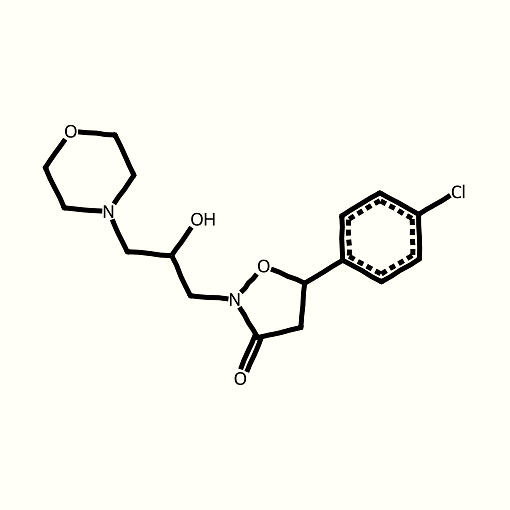 O=C1CC(c2ccc(Cl)cc2)ON1CC(O)CN1CCOCC1